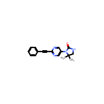 CC1(C)CNC(=O)N1c1cnc(C#Cc2ccccc2)nc1